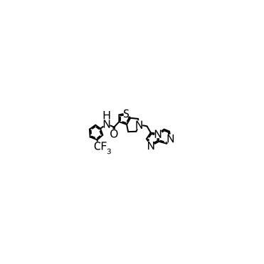 O=C(Nc1cccc(C(F)(F)F)c1)c1csc2c1CCN(Cc1cnc3cnccn13)C2